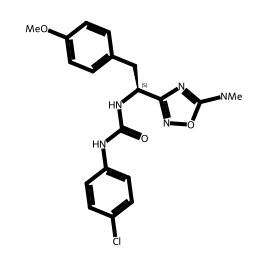 CNc1nc([C@H](Cc2ccc(OC)cc2)NC(=O)Nc2ccc(Cl)cc2)no1